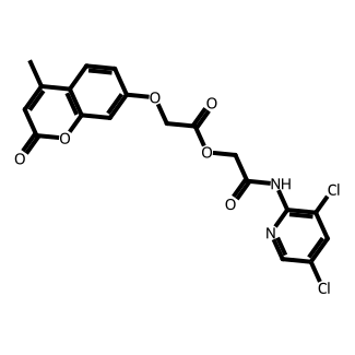 Cc1cc(=O)oc2cc(OCC(=O)OCC(=O)Nc3ncc(Cl)cc3Cl)ccc12